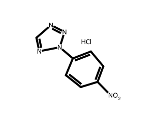 Cl.O=[N+]([O-])c1ccc(-n2ncnn2)cc1